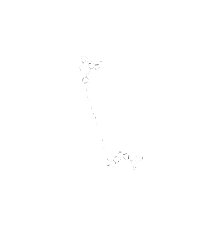 CCc1cnn2c(NCc3ccc(OCCOCCOCCOCCOCCOCCOCCOCCOCCN4C(=O)OCc5cnc(N[C@@H](C)c6ccc([C@H](CC7CC7)N7CCNCC7)cc6)nc54)nc3)cc(N3CCCC[C@H]3CCO)nc12